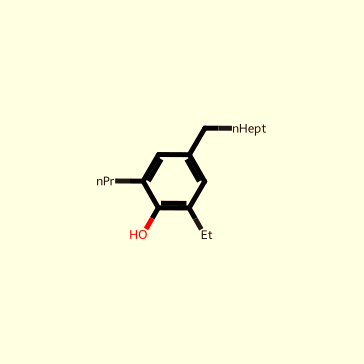 CCCCCCCCc1cc(CC)c(O)c(CCC)c1